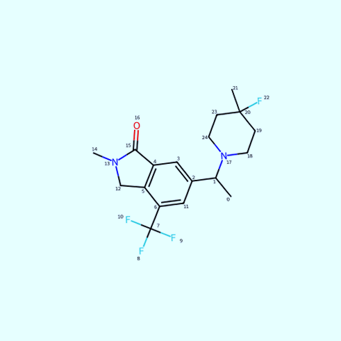 CC(c1cc2c(c(C(F)(F)F)c1)CN(C)C2=O)N1CCC(C)(F)CC1